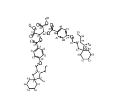 CCCC(C)C1(CCCOc2ccc(C(=O)O[C@@H](C(=O)OC)[C@@H](OC(=O)c3ccc(OCCCC4(C(C)CCC)CCCCC4)cc3)C(=O)OC)cc2)CCCCC1